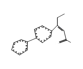 CC/C(=C/C(C)=O)c1ccc(-c2ccccc2)cc1